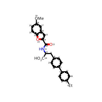 CCc1ccc(-c2ccc(CC(NC(=O)c3cc4cc(OC)ccc4o3)C(=O)O)cc2)cc1